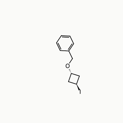 I[C@H]1C[C@H](OCc2ccccc2)C1